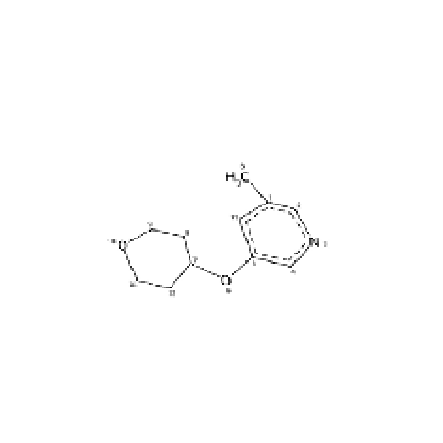 Cc1cncc(OC2CCOCC2)c1